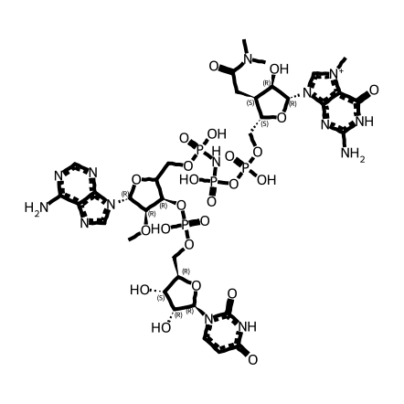 CO[C@@H]1[C@H](OP(=O)(O)OC[C@H]2O[C@@H](n3ccc(=O)[nH]c3=O)[C@H](O)[C@@H]2O)C(COP(=O)(O)NP(=O)(O)OP(=O)(O)OC[C@H]2O[C@@H](n3c[n+](C)c4c(=O)[nH]c(N)nc43)[C@H](O)[C@@H]2CC(=O)N(C)C)O[C@H]1n1cnc2c(N)ncnc21